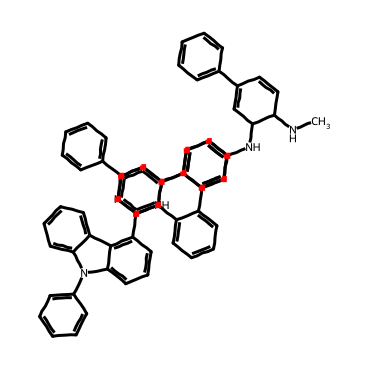 CNC1C=CC(c2ccccc2)=CC1Nc1ccc(-c2ccccc2-c2ccccc2-c2ccccc2C2C=C(c3ccccc3)N=C(c3cccc4c3c3ccccc3n4-c3ccccc3)N2)cc1